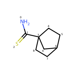 NC(=S)C12CCC(CC1)C2